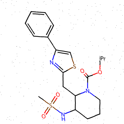 CC(C)OC(=O)N1CCCC(NS(C)(=O)=O)C1Cc1nc(-c2ccccc2)cs1